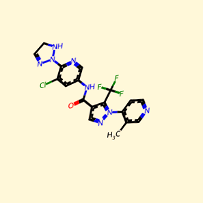 Cc1cnccc1-n1ncc(C(=O)Nc2cnc(N3N=CCN3)c(Cl)c2)c1C(F)(F)F